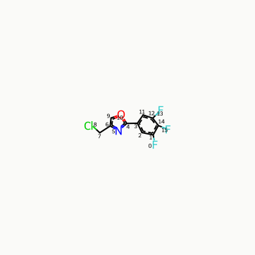 Fc1cc(-c2nc(CCl)co2)cc(F)c1F